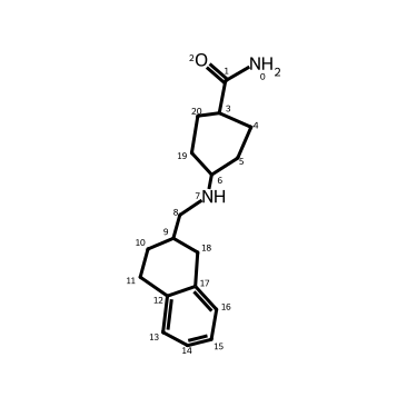 NC(=O)C1CCC(NCC2CCc3ccccc3C2)CC1